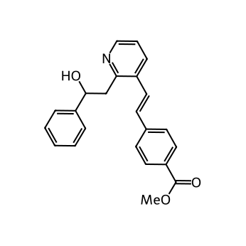 COC(=O)c1ccc(C=Cc2cccnc2CC(O)c2ccccc2)cc1